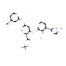 [2H]C([2H])([2H])NC(=O)c1nnc(Nc2cc(C(F)(F)F)ccn2)cc1Nc1nccc(-c2ncn(C)n2)c1OC